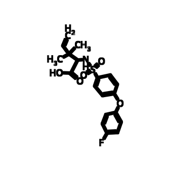 C=CC(C)(C)C(NS(=O)(=O)c1ccc(Oc2ccc(F)cc2)cc1)C(=O)O